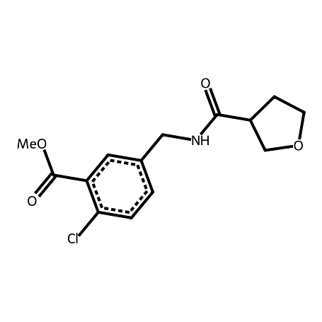 COC(=O)c1cc(CNC(=O)C2CCOC2)ccc1Cl